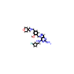 COc1cc(CN2CC3(CCOCC3)C2)ccc1Cn1ncc2nc(N)nc(NCC3CCC(F)C3)c21